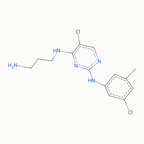 Cc1cc(Cl)cc(Nc2ncc(Cl)c(NCCCN)n2)c1